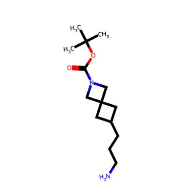 CC(C)(C)OC(=O)N1CC2(CC(CCCN)C2)C1